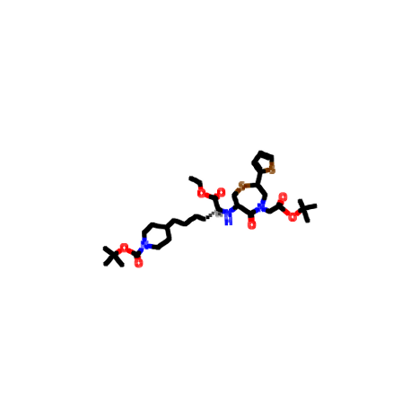 CCOC(=O)[C@@H](CCCCC1CCN(C(=O)OC(C)(C)C)CC1)NC1CSC(c2cccs2)CN(CC(=O)OC(C)(C)C)C1=O